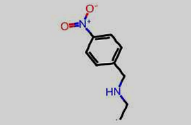 [CH2]CNCc1ccc([N+](=O)[O-])cc1